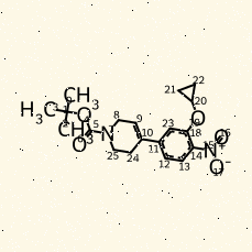 CC(C)(C)OC(=O)N1CC=C(c2ccc([N+](=O)[O-])c(OC3CC3)c2)CC1